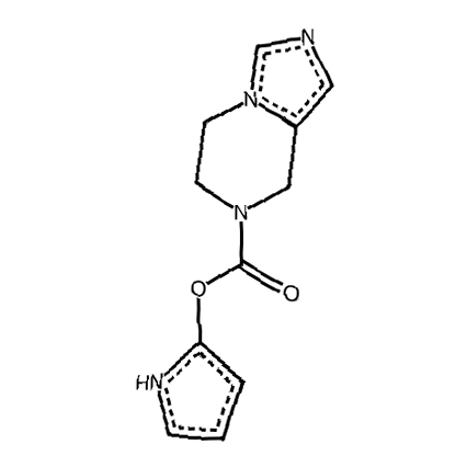 O=C(Oc1ccc[nH]1)N1CCn2cncc2C1